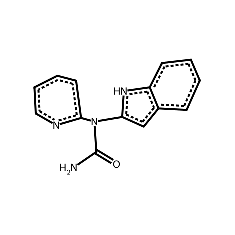 NC(=O)N(c1ccccn1)c1cc2ccccc2[nH]1